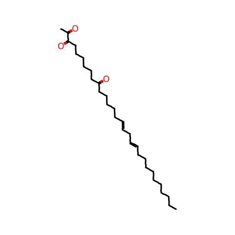 CCCCCCCCCCC=CCC=CCCCCCC(=O)CCCCCCC(=O)C(C)=O